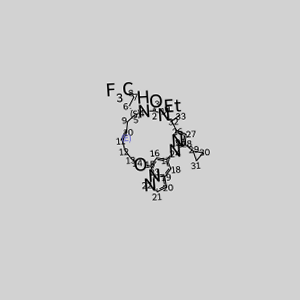 CCN1C(=O)N[C@@H](CCC(F)(F)F)C/C=C/CCOc2cc(cc3ccnn23)-n2nc(cc2C2CC2)C1C